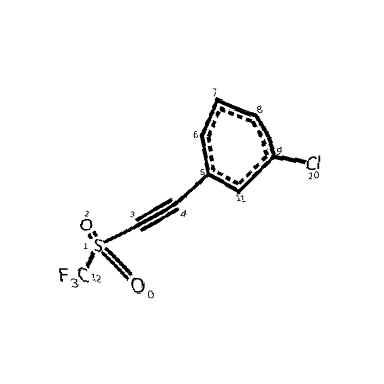 O=S(=O)(C#Cc1cccc(Cl)c1)C(F)(F)F